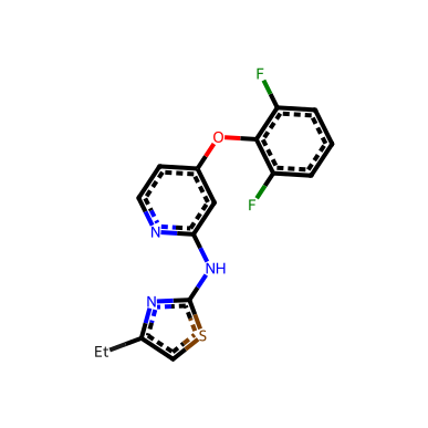 CCc1csc(Nc2cc(Oc3c(F)cccc3F)ccn2)n1